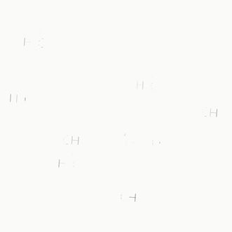 CC(C)OOC(C)C.Cc1ccccc1C(C)C